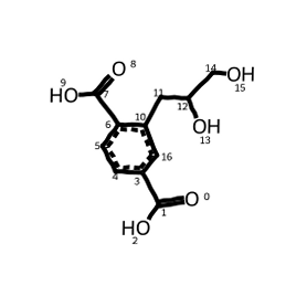 O=C(O)c1ccc(C(=O)O)c(CC(O)CO)c1